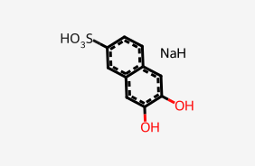 O=S(=O)(O)c1ccc2cc(O)c(O)cc2c1.[NaH]